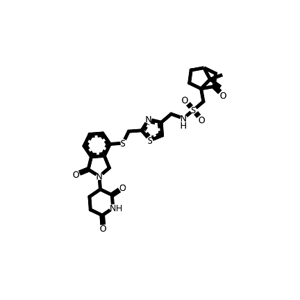 CC1(C)C2CCC1(CS(=O)(=O)NCc1csc(CSc3cccc4c3CN(C3CCC(=O)NC3=O)C4=O)n1)C(=O)C2